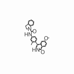 COc1ccc2c(=O)[nH]cc(-c3ccc(NC(=O)N4CCc5ccccc54)cc3C)c2c1